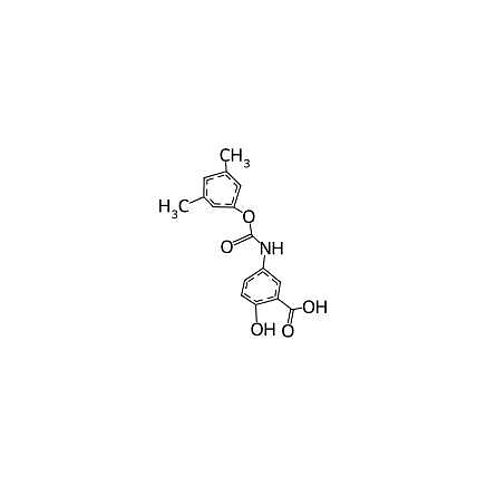 Cc1cc(C)cc(OC(=O)Nc2ccc(O)c(C(=O)O)c2)c1